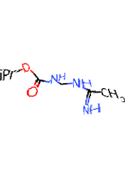 CC(=N)NCNC(=O)OC(C)C